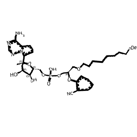 CCCCCCCCCCCCCCCCCCOC[C@H](COP(=O)(O)OC[C@H]1O[C@@](C)(c2ccc3c(N)ncnn23)[C@H](O)[C@@H]1O)Oc1ccccc1C#N